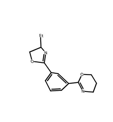 CCC1COC(c2cccc(C3=NCCCO3)c2)=N1